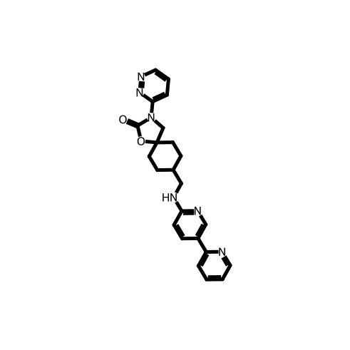 O=C1OC2(CCC(CNc3ccc(-c4ccccn4)cn3)CC2)CN1c1cccnn1